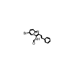 O=CNc1c(/C=C/c2ccccc2)nc2ccc(Br)cn12